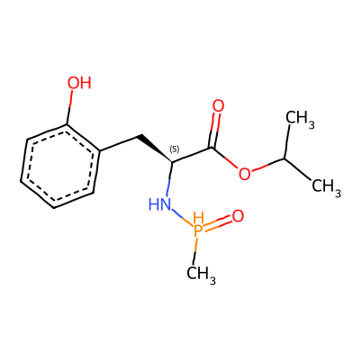 CC(C)OC(=O)[C@H](Cc1ccccc1O)N[PH](C)=O